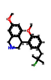 COc1ccc2c(c1)CNCC2c1cc(CC(C)(C)F)ccc1OC